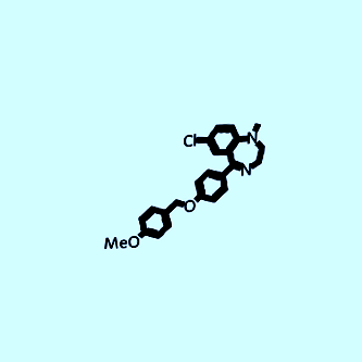 COc1ccc(COc2ccc(C3=NCCN(C)c4ccc(Cl)cc43)cc2)cc1